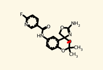 CC1(C)Oc2ccc(NC(=O)c3ccc(F)nc3)cc2C2(COC(N)=N2)C12COC2